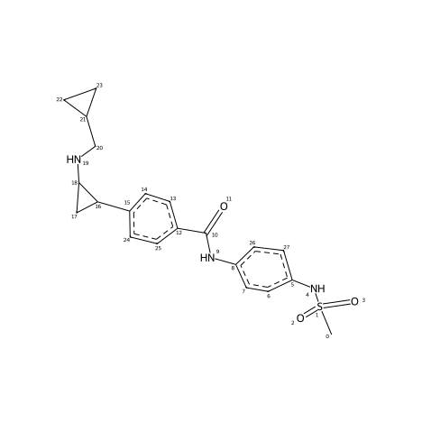 CS(=O)(=O)Nc1ccc(NC(=O)c2ccc(C3CC3NCC3CC3)cc2)cc1